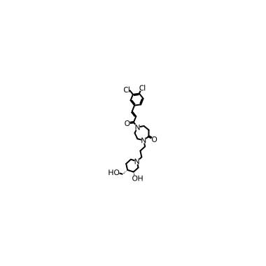 O=C(/C=C/c1ccc(Cl)c(Cl)c1)N1CCC(=O)N(CCCN2CC[C@@H](CO)[C@@H](O)C2)CC1